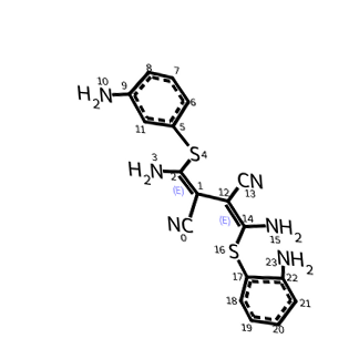 N#CC(=C(\N)Sc1cccc(N)c1)/C(C#N)=C(/N)Sc1ccccc1N